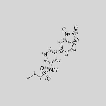 CCCS(=O)(=O)Nc1cncc(-c2ccc3oc(=O)n(C)c3c2)c1